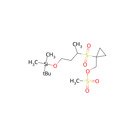 CC(CCO[Si](C)(C)C(C)(C)C)S(=O)(=O)C1(COS(C)(=O)=O)CC1